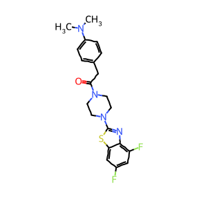 CN(C)c1ccc(CC(=O)N2CCN(c3nc4c(F)cc(F)cc4s3)CC2)cc1